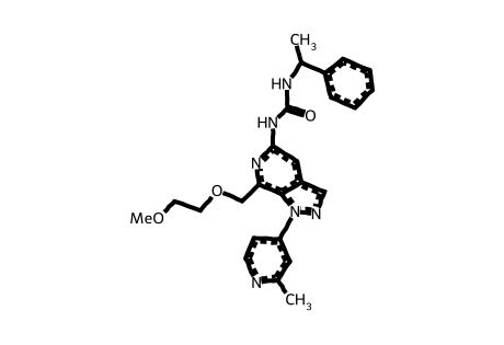 COCCOCc1nc(NC(=O)NC(C)c2ccccc2)cc2cnn(-c3ccnc(C)c3)c12